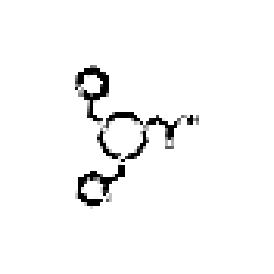 O=C(O)CN1CCN(Cc2ccccn2)CCN(Cc2ccccn2)CC1